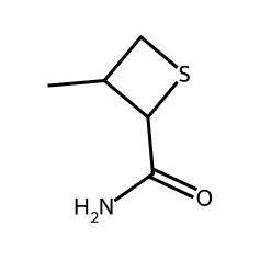 CC1CSC1C(N)=O